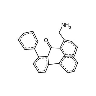 NCc1ccccc1C(=O)c1c(-c2ccccc2)cccc1-c1ccccc1